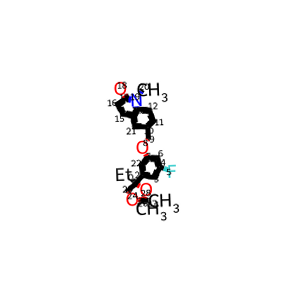 CCC1(c2cc(F)cc(OCc3ccc4c(ccc(=O)n4C)c3)c2)COC(C)(C)O1